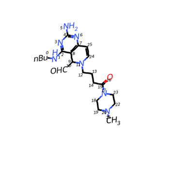 CCCCNc1nc(N)nc2c1C(C=O)N(CCCC(=O)N1CCN(C)CC1)C=C2